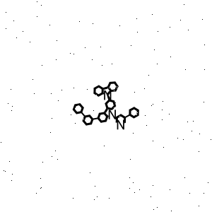 c1ccc(-c2cccc(-c3ccc4c(c3)c3cc(-n5c6ccccc6c6ccccc65)ccc3n4-c3cncc(-c4ccccc4)c3)c2)cc1